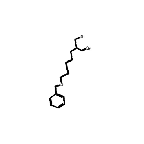 OCC(CO)CCCCCOCc1ccccc1